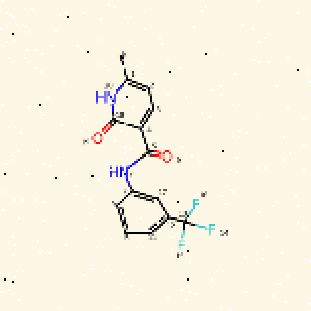 Cc1ccc(C(=O)Nc2cccc(C(F)(F)F)c2)c(=O)[nH]1